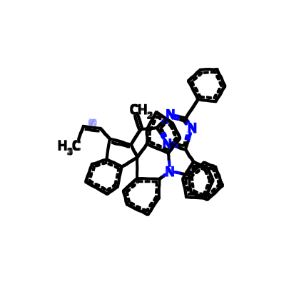 C=C(C1=C(/C=C\C)c2ccccc2C12c1ccccc1N(c1ccccc1)c1ccccc12)c1nc(-c2ccccc2)nc(-c2ccccc2)n1